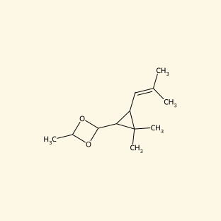 CC(C)=CC1C(C2OC(C)O2)C1(C)C